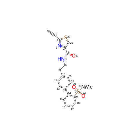 C#Cc1nc(C(=O)NCCc2ccc(-c3ccccc3S(=O)(=O)NC)cc2)cs1